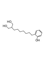 OCC(CO)CCCCCCCc1ccccc1O